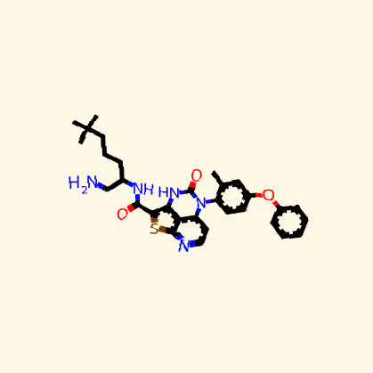 Cc1cc(Oc2ccccc2)ccc1N1C(=O)Nc2c(C(=O)NC(CN)CCCC(C)(C)C)sc3nccc1c23